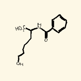 O=C(NC(CCCCO)C(=O)O)c1ccccc1